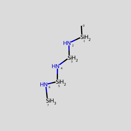 C[SiH2]N[SiH2]N[SiH2]N[SiH3]